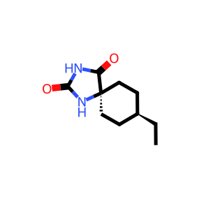 CC[C@H]1CC[C@]2(CC1)NC(=O)NC2=O